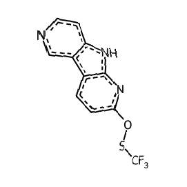 FC(F)(F)SOc1ccc2c(n1)[nH]c1ccncc12